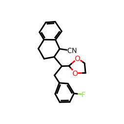 N#CC1c2ccccc2CCC1C(Cc1cccc(F)c1)C1OCCO1